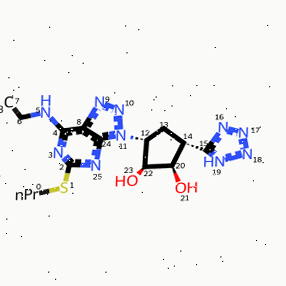 CCCSc1nc(NCC(F)(F)F)c2nnn([C@@H]3C[C@H](c4nnn[nH]4)[C@@H](O)[C@H]3O)c2n1